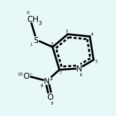 CSc1cccnc1[N+](=O)[O-]